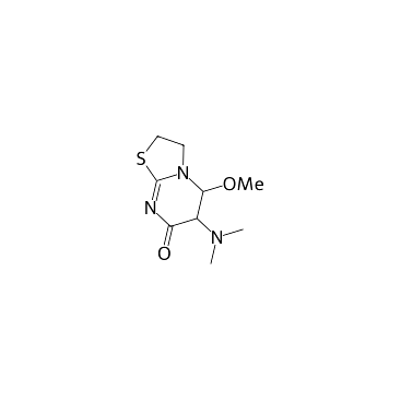 COC1C(N(C)C)C(=O)N=C2SCCN21